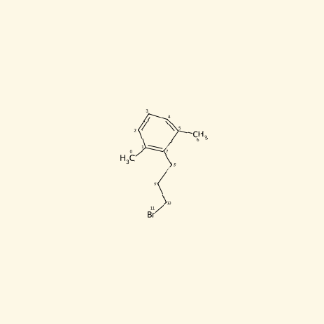 Cc1cccc(C)c1CCCBr